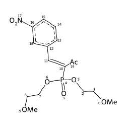 COCCOP(=O)(OCCOC)C(=Cc1cccc([N+](=O)[O-])c1)C(C)=O